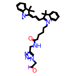 CN1/C(=C/C=C/C2=[N+](CCCCCC(=O)NCc3cn(CC(=O)I)nn3)c3ccccc3C2(C)C)C(C)(C)c2ccccc21